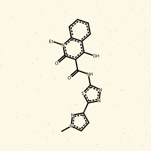 CCn1c(=O)c(C(=O)Nc2nnc(-c3ccn(C)n3)s2)c(O)c2ccccc21